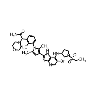 CCS(=O)(=O)N1CC[C@H](Nc2c(Br)cnc3nc(-c4cc(C)n(-c5cccc(C(C(N)=O)N6CCOCC6)c5C)c4C)[nH]c23)C1